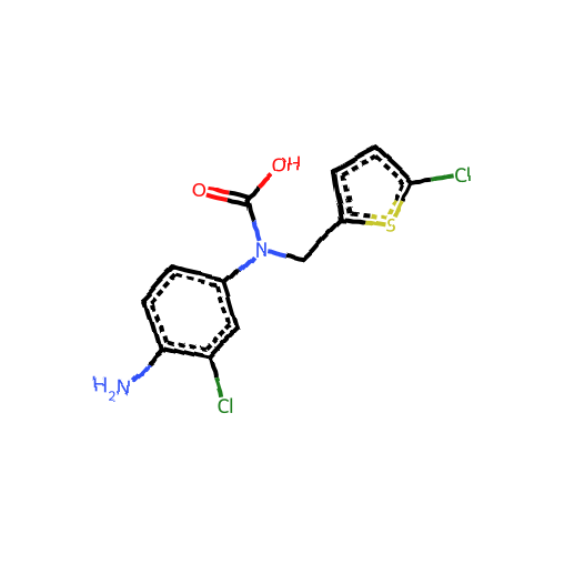 Nc1ccc(N(Cc2ccc(Cl)s2)C(=O)O)cc1Cl